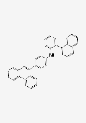 c1ccc(-c2cccc3ccccc23)c(Nc2ccc(-c3cc4ccccc4c4ccccc34)cc2)c1